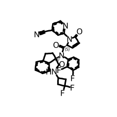 N#Cc1ccnc(N2C(=O)C=C[C@H]2C(=O)N(c2cccc(F)c2F)[C@]2(C(=O)NC3CC(F)(F)C3)CCc3ccccc32)c1